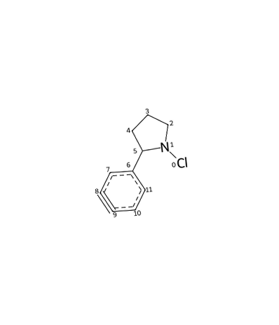 ClN1CCCC1c1cc#ccc1